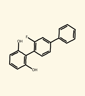 Oc1cccc(O)c1-c1ccc(-c2ccccc2)cc1F